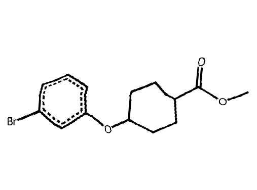 COC(=O)C1CCC(Oc2cccc(Br)c2)CC1